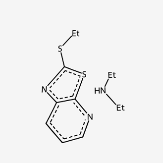 CCNCC.CCSc1nc2cccnc2s1